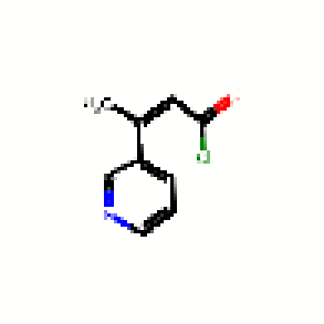 C/C(=C/C(=O)Cl)c1cccnc1